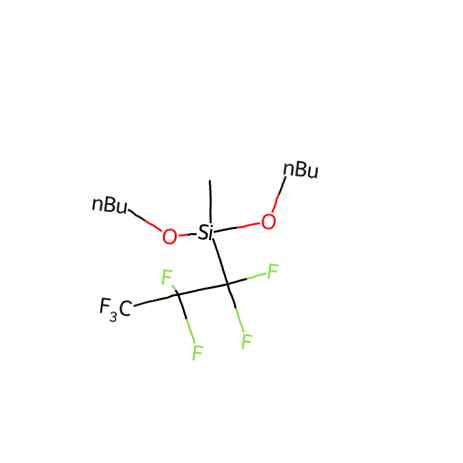 CCCCO[Si](C)(OCCCC)C(F)(F)C(F)(F)C(F)(F)F